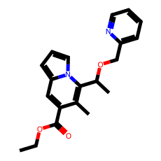 CCOC(=O)c1cc2cccn2c(C(C)OCc2ccccn2)c1C